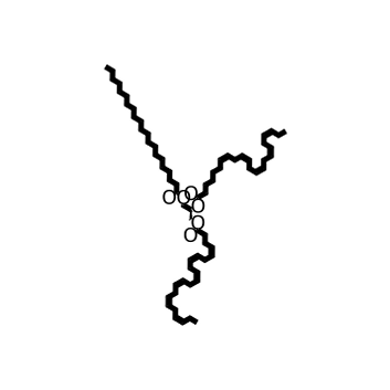 CC/C=C\C/C=C\C/C=C\C/C=C\C/C=C\C/C=C\CCC(=O)OC[C@@H](COC(=O)CCCCCCCCCCCCCCCCCCCC)OC(=O)CCCCC/C=C\C/C=C\C/C=C\C/C=C\C/C=C\CC